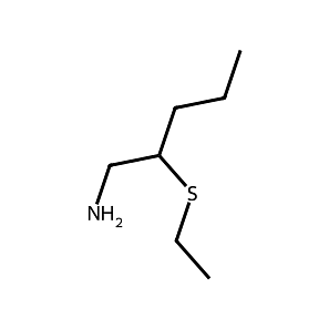 CCCC(CN)SCC